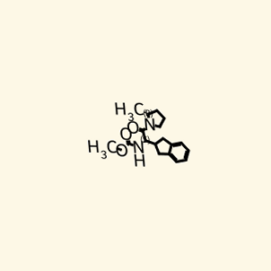 COC(=O)N[C@H](C(=O)N1CCC[C@H]1C)C1Cc2ccccc2C1